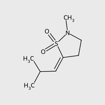 CC(C)/C=C1/CCN(C)S1(=O)=O